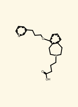 O=C(O)CCCN1CCc2cccc(OCCCc3cccnc3)c2CC1